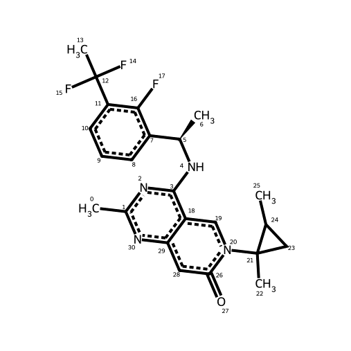 Cc1nc(N[C@H](C)c2cccc(C(C)(F)F)c2F)c2cn(C3(C)CC3C)c(=O)cc2n1